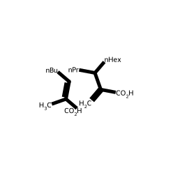 C=C(C(=O)O)C(CCC)CCCCCC.CCCC/C=C(\C)C(=O)O